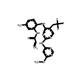 C=CC(=O)Nc1cc(C)ccc1Nc1nc(Nc2cc(OC)ncn2)ncc1CC(F)(F)F